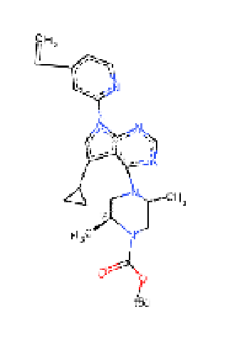 C=Cc1ccnc(-n2cc(C3CC3)c3c(N4C[C@H](C)N(C(=O)OC(C)(C)C)CC4C)ncnc32)c1